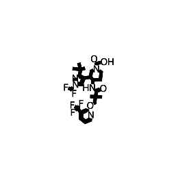 CC(C)(COc1ncccc1C(F)(F)F)C(=O)NC1CCN(C(=O)O)CC1c1cn(C(F)F)nc1C(C)(C)C